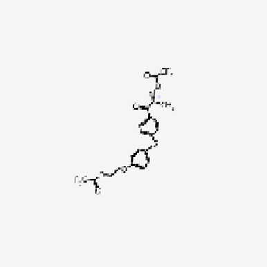 C/C(=N\OC(=O)C(F)(F)F)C(=O)c1ccc(Sc2ccc(OCCOC(=O)C(F)(F)F)cc2)cc1